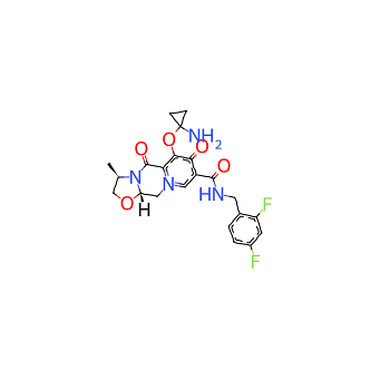 C[C@@H]1CO[C@H]2Cn3cc(C(=O)NCc4ccc(F)cc4F)c(=O)c(OC4(N)CC4)c3C(=O)N12